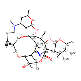 C#CCCN(C)C1CC(C)OC(O[C@H]2C3C[C@@H](C)/C(=N\OC(C)=O)C(C)C(OCC(=C)CO3)C(C)(O)[C@@H](CC)OC(=O)C(C)C(O[C@H]3C[C@@](C)(OC)[C@@H](OC(C)=O)C(C)O3)[C@@H]2C)C1